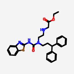 CCOC(=O)CNCCN(CCC(c1ccccc1)c1ccccc1)C(=O)Nc1nc2ccccc2s1